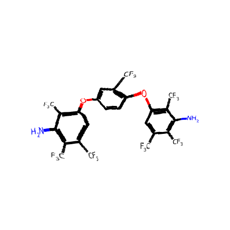 Nc1c(C(F)(F)F)c(Oc2ccc(Oc3cc(C(F)(F)F)c(C(F)(F)F)c(N)c3C(F)(F)F)c(C(F)(F)F)c2)cc(C(F)(F)F)c1C(F)(F)F